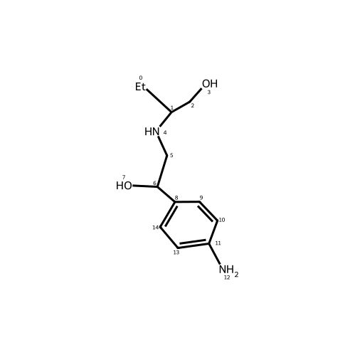 CCC(CO)NCC(O)c1ccc(N)cc1